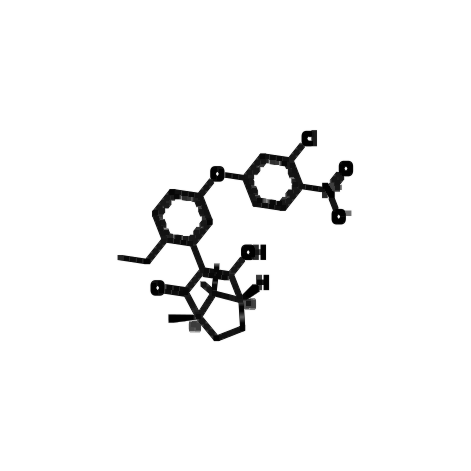 CCc1ccc(Oc2ccc([N+](=O)[O-])c(Cl)c2)cc1C1=C(O)[C@@H]2CC[C@](C)(C1=O)C2(C)C